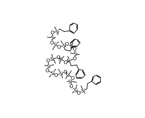 C[Si](C)(CCc1ccccc1)O[Si](C)(C)O[Si](C)(C)O[Si](C)(C)O[Si](C)(C)O[Si](C)(C)O[Si](C)(C)O[Si](C)(C)O[Si](C)(C)O[Si](C)(CCc1ccccc1)O[Si](C)(C)O[Si](C)(C)O[Si](C)(CCc1ccccc1)O[Si](C)(C)O[Si](C)(C)O[Si](C)(C)CCc1ccccc1